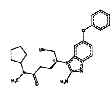 CN(C(=O)CC[C@@H](CC(C)(C)C)n1c(N)nc2ccc(Oc3ccccc3)cc21)C1CCCC1